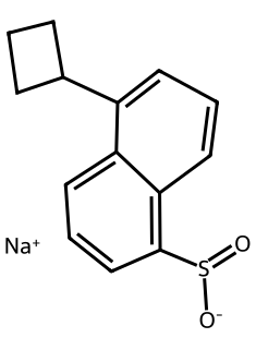 O=S([O-])c1cccc2c(C3CCC3)cccc12.[Na+]